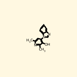 Cc1cc(-n2cnc3ccccc32)c(O)c(C)n1